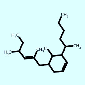 CCCCC(C)C1C=CCC(C/C(C)=C/C(C)CC)C1Cl